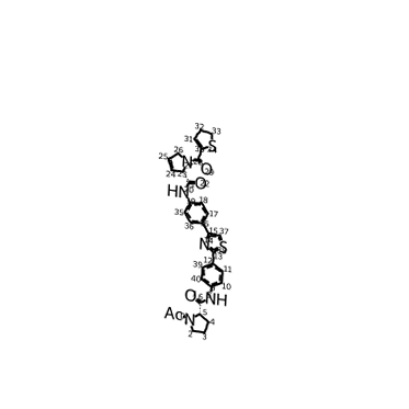 CC(=O)N1CCC[C@H]1C(=O)Nc1ccc(-c2nc(-c3ccc(NC(=O)[C@@H]4C=CCN4C(=O)C4=CCCS4)cc3)cs2)cc1